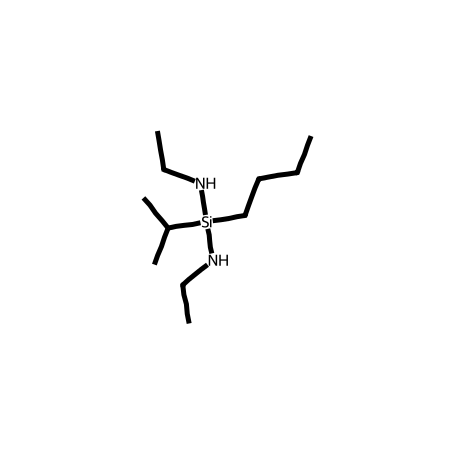 CCCC[Si](NCC)(NCC)C(C)C